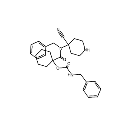 N#CC1(N(Cc2ccccc2)C(=O)C2(OC(=O)NCc3ccccc3)CCCCC2)CCNCC1